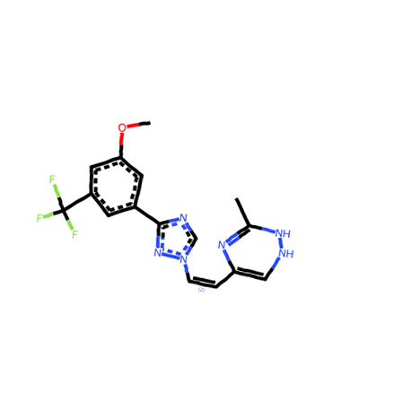 COc1cc(-c2ncn(/C=C\C3=CNNC(C)=N3)n2)cc(C(F)(F)F)c1